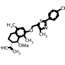 C=C(C=O)[C@@H]1CCc2c(C)cc(OCc3sc(-c4ccc(C(F)(F)F)cc4)nc3C)c(C)c2[C@@H]1OC